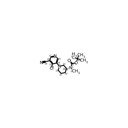 CN(C(=O)OC(C)(C)C)[C@@H]1CCCN(c2cncc(C#N)c2Cl)C1